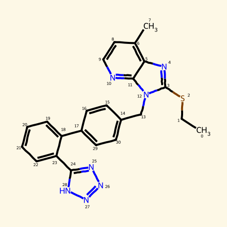 CCSc1nc2c(C)ccnc2n1Cc1ccc(-c2ccccc2-c2nnn[nH]2)cc1